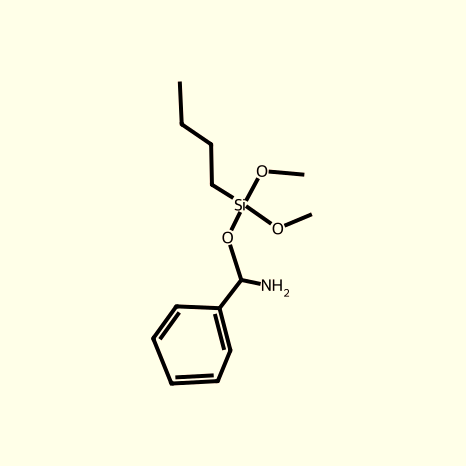 CCCC[Si](OC)(OC)OC(N)c1ccccc1